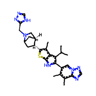 Cc1c(-c2[nH]c3sc([C@@H]4CC5C[C@H]4CN5Cc4nnc[nH]4)c(C)c3c2C(C)C)cn2ncnc2c1C